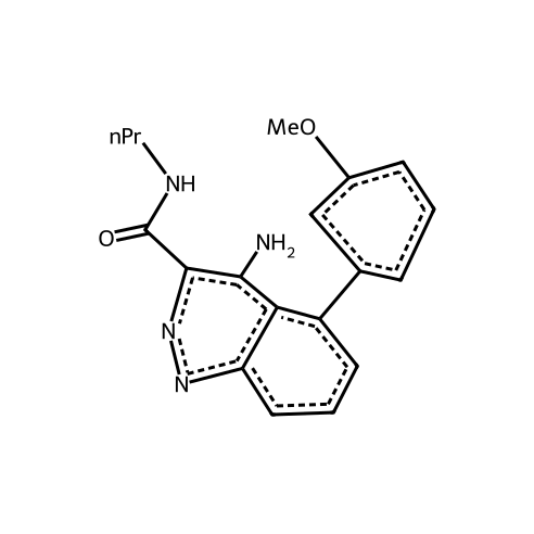 CCCNC(=O)c1nnc2cccc(-c3cccc(OC)c3)c2c1N